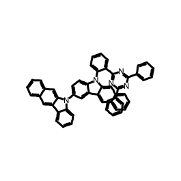 c1ccc(-c2nc(-c3ccccc3)nc(-c3ccccc3-n3c4ccc(-n5c6ccccc6c6cc7ccccc7cc65)cc4c4cc5ccccc5cc43)n2)cc1